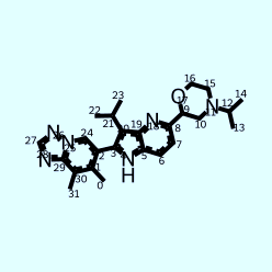 Cc1c(-c2[nH]c3ccc(C4CN(C(C)C)CCO4)nc3c2C(C)C)cn2ncnc2c1C